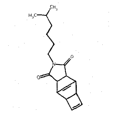 CC(C)CCCCN1C(=O)C2C3C=CC(C4C=CC43)C2C1=O